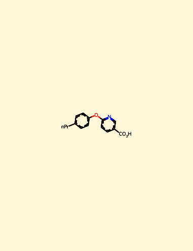 CCCc1ccc(Oc2ccc(C(=O)O)cn2)cc1